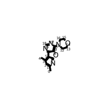 Cc1cc(C)c2c(n1)oc1c(N3CCOCC3)ncnc12